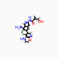 Cc1c(-c2cc3cc(NC(=O)C4CC4CO)ncc3c(N)c2F)cnc2c1NCCO2